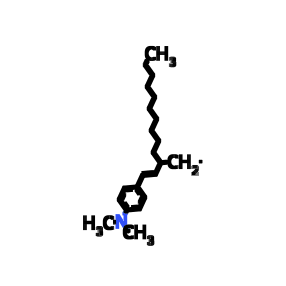 [CH2]C(C=Cc1ccc(N(C)C)cc1)CCCCCCCCCC